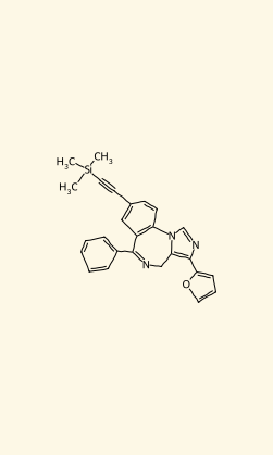 C[Si](C)(C)C#Cc1ccc2c(c1)C(c1ccccc1)=NCc1c(-c3ccco3)ncn1-2